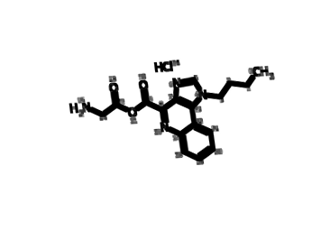 CCCCn1cnc2c(C(=O)OC(=O)CN)nc3ccccc3c21.Cl